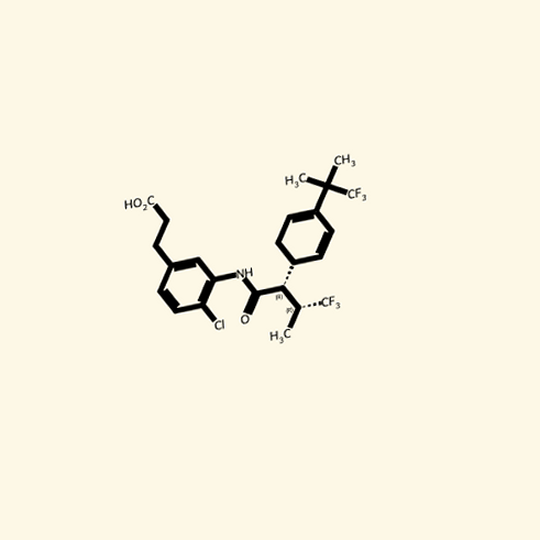 C[C@H]([C@H](C(=O)Nc1cc(CCC(=O)O)ccc1Cl)C1C=CC(C(C)(C)C(F)(F)F)=CC1)C(F)(F)F